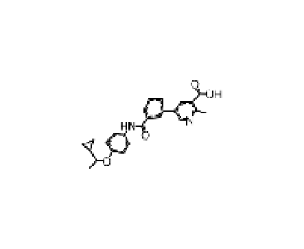 Cc1ncc(-c2cccc(C(=O)Nc3ccc(OC(C)C4CC4)cc3)c2)cc1C(=O)O